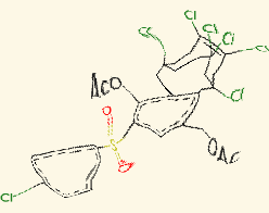 CC(=O)Oc1cc(S(=O)(=O)c2ccc(Cl)cc2)c(OC(C)=O)c2c1C1(Cl)C(Cl)=C(Cl)C2(Cl)C1(Cl)Cl